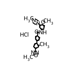 COc1ccc(NC(=O)c2ccc(-c3ccc(-c4noc(C)n4)cc3C)cc2)cc1N1CCN(C)CC1.Cl